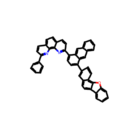 c1ccc(-c2ccc3ccc4ccc(-c5ccc(-c6ccc7c(ccc8c9ccccc9oc78)c6)c6cc7ccccc7cc56)nc4c3n2)cc1